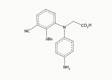 CCCCc1c(C#N)cccc1N(CC(=O)O)c1ccc(N)cc1